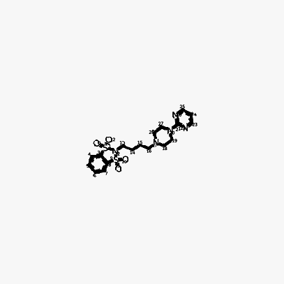 O=S1(=O)c2ccccc2S(=O)(=O)N1CCCCN1CCN(c2ncccn2)CC1